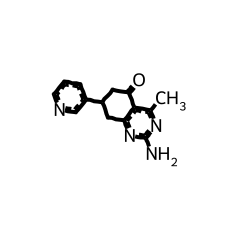 Cc1nc(N)nc2c1C(=O)CC(c1cccnc1)C2